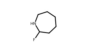 FC1CCCCCN1